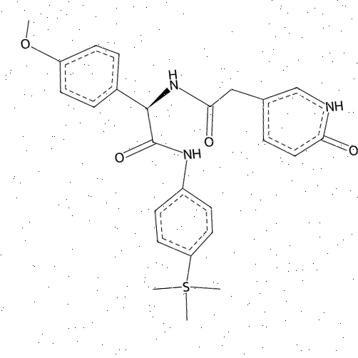 COc1ccc([C@@H](NC(=O)Cc2ccc(=O)[nH]c2)C(=O)Nc2ccc(S(C)(C)C)cc2)cc1